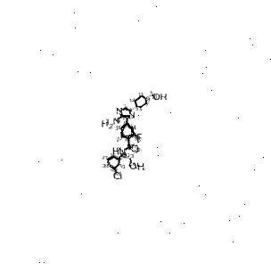 Nc1ncc([C@H]2CC[C@@H](CO)CC2)nc1-c1ccc(C(=O)N[C@H](CO)C2C=CC=C(Cl)C2)c(F)c1